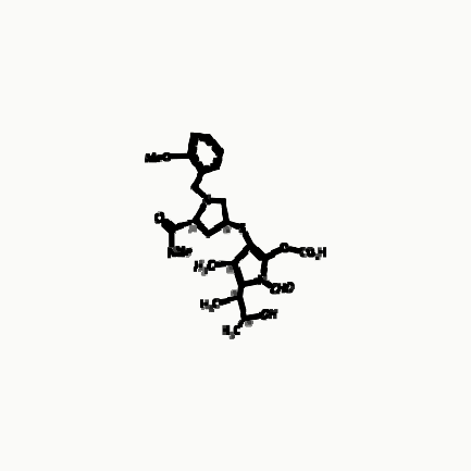 CNC(=O)[C@@H]1C[C@H](SC2=C(OC(=O)O)N(C=O)C([C@H](C)[C@@H](C)O)[C@H]2C)CN1Cc1ccccc1OC